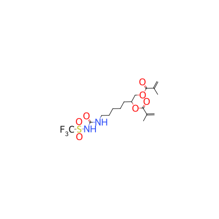 C=C(C)C(=O)OCC(CCCCCNC(=O)NS(=O)(=O)C(F)(F)F)OC(=O)C(=C)C